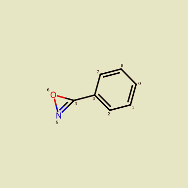 c1ccc(C2=NO2)cc1